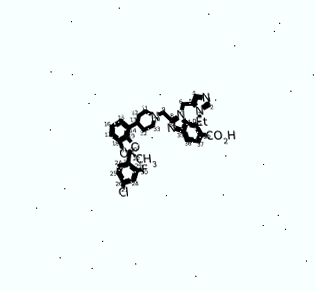 CCn1cncc1Cn1c(CN2CCC(c3cccc4c3O[C@](C)(c3ccc(Cl)cc3F)O4)CC2)nc2ccc(C(=O)O)cc21